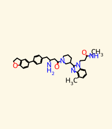 CNC(=O)CCn1c(C2CCCN(C(=O)CC(N)Cc3ccc(-c4ccc5c(c4)CCO5)cc3)C2)nc2c(C)cccc21